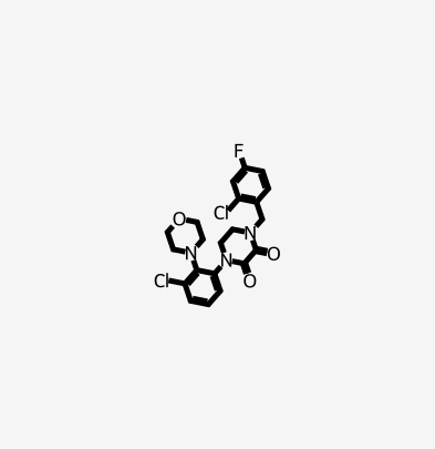 O=C1C(=O)N(c2cccc(Cl)c2N2CCOCC2)CCN1Cc1ccc(F)cc1Cl